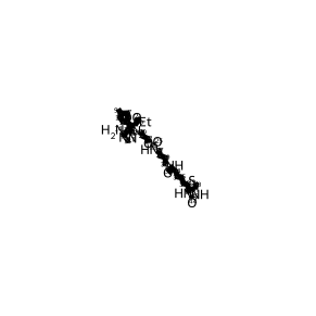 CCC(=O)c1c(-c2ccc(C)cc2)c2c(N)ncnc2n1CCCOC(=O)NCCCCNC(=O)CCCCC1SCC2NC(=O)NC21